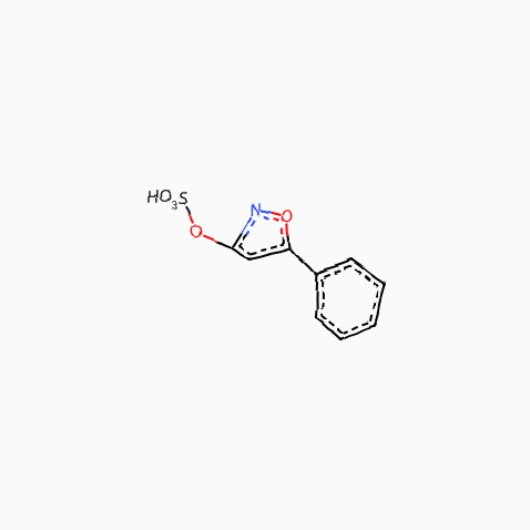 O=S(=O)(O)Oc1cc(-c2ccccc2)on1